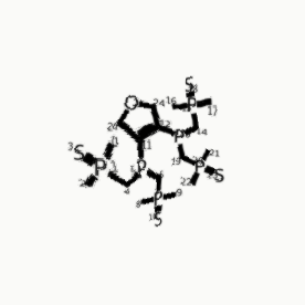 CP(C)(=S)CP(CP(C)(C)=S)C1=C(P(CP(C)(C)=S)CP(C)(C)=S)COC1